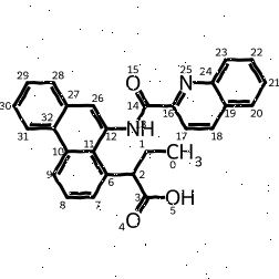 CCC(C(=O)O)c1cccc2c1c(NC(=O)c1ccc3ccccc3n1)cc1ccccc12